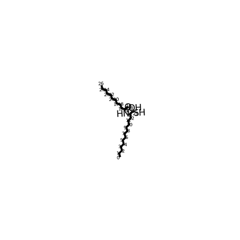 CCCCCCCCCCCCCC(NC(=O)CCCCCCCCCC)C(O)S